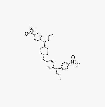 CCCC(=C1C=CC(CC2C=CC(=C(CCC)c3ccc([N+](=O)[O-])cc3)C=C2)C=C1)c1ccc([N+](=O)[O-])cc1